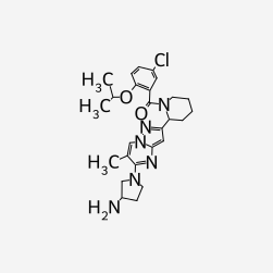 Cc1cn2nc(C3CCCCN3C(=O)c3cc(Cl)ccc3OC(C)C)cc2nc1N1CCC(N)C1